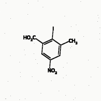 Cc1cc([N+](=O)[O-])cc(C(=O)O)c1I